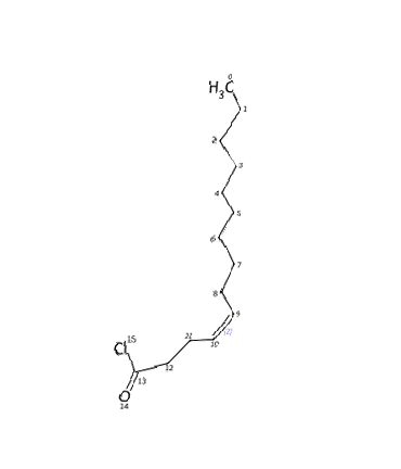 CCCCCCCCC/C=C\CCC(=O)Cl